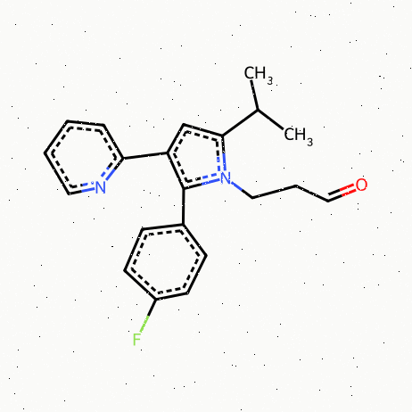 CC(C)c1cc(-c2ccccn2)c(-c2ccc(F)cc2)n1CCC=O